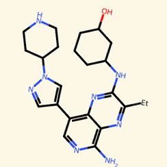 CCc1nc2c(N)ncc(-c3cnn(C4CCNCC4)c3)c2nc1NC1CCCC(O)C1